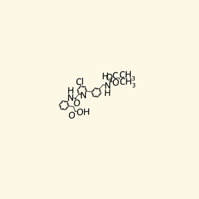 CC(C)(C)OC(=O)NCc1cccc(-c2cc(Cl)cc(C(=O)Nc3ccccc3CC(=O)O)n2)c1